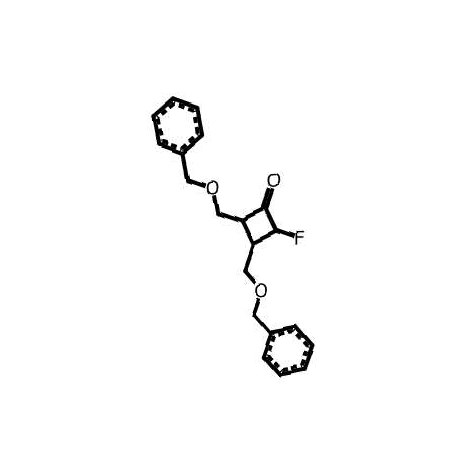 O=C1C(F)C(COCc2ccccc2)C1COCc1ccccc1